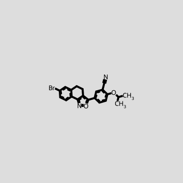 CC(C)Oc1ccc(-c2onc3c2CCc2cc(Br)ccc2-3)cc1C#N